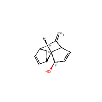 C=C1C2C=C[C@@H](O)[C@@]23C2C=CC(C2)[C@H]13